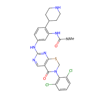 CNC(=O)Nc1cc(Nc2ncc3c(n2)SCN(c2c(Cl)cccc2Cl)C3=O)ccc1C1CCNCC1